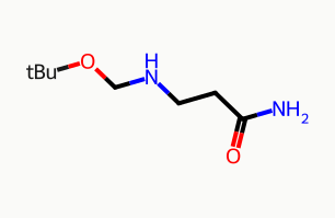 CC(C)(C)OCNCCC(N)=O